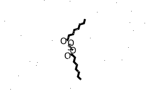 CCCCCCCC(=O)OSOC(=O)CCCCCCC